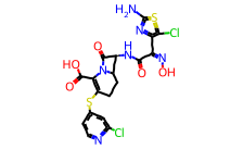 Nc1nc(/C(=N/O)C(=O)N[C@@H]2C(=O)N3C(C(=O)O)=C(Sc4ccnc(Cl)c4)CCC23)c(Cl)s1